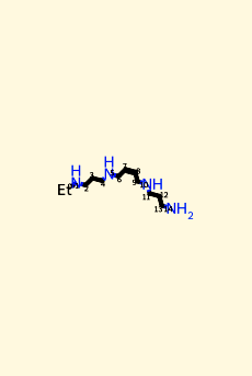 CCNCCCNC/C=C\CNCCCN